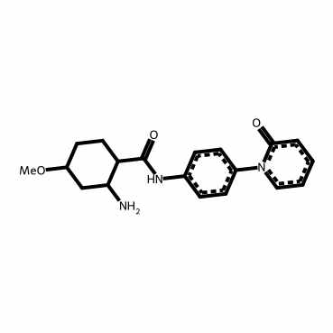 COC1CCC(C(=O)Nc2ccc(-n3ccccc3=O)cc2)C(N)C1